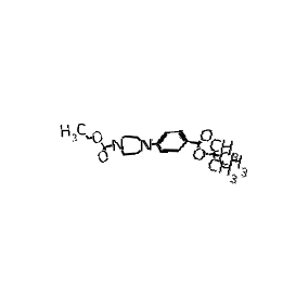 CCOC(=O)N1CCN(c2ccc(C(=O)OC(C)(C)C)cc2)CC1